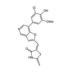 COc1cc(-c2cncc3cc(/C=C4/SC(=S)NC4=O)oc23)cc(Cl)c1O